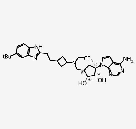 CC(C)(C)c1ccc2[nH]c(CCC3CC(N(C[C@H]4C[C@@H](n5ccc6c(N)ncnc65)[C@H](O)[C@@H]4O)CC(F)(F)F)C3)nc2c1